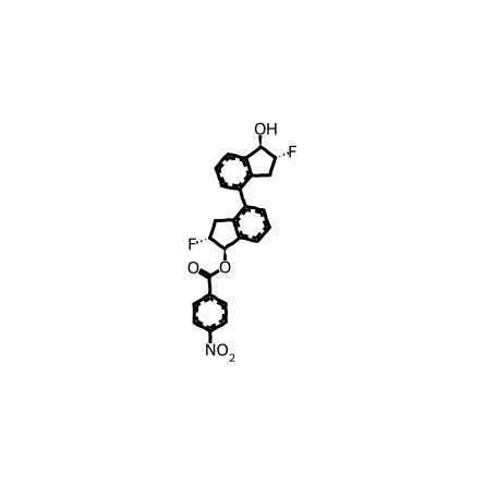 O=C(O[C@@H]1c2cccc(-c3cccc4c3C[C@@H](F)[C@@H]4O)c2C[C@H]1F)c1ccc([N+](=O)[O-])cc1